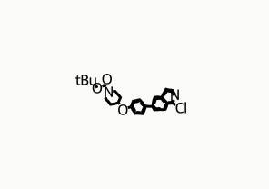 CC(C)(C)OC(=O)N1CCC(Oc2ccc(-c3ccc4c(Cl)nccc4c3)cc2)CC1